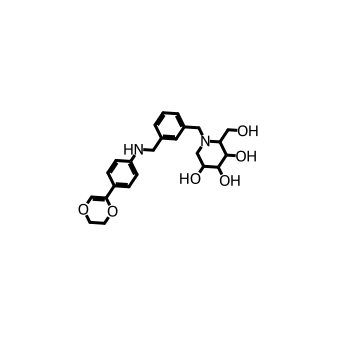 OCC1C(O)C(O)C(O)CN1Cc1cccc(CNc2ccc(C3=COCCO3)cc2)c1